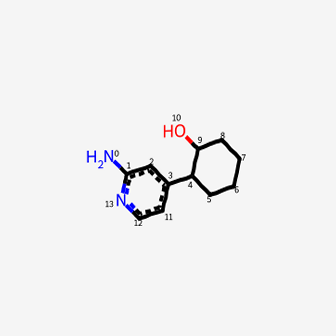 Nc1cc(C2CCCCC2O)ccn1